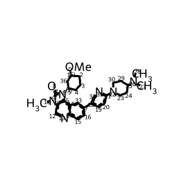 CO[C@H]1CCC[C@H](n2c(=O)n(C)c3cnc4ccc(-c5ccc(N6CCC(N(C)C)CC6)nc5)cc4c32)C1